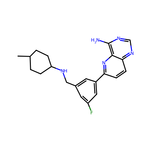 CC1CCC(NCc2cc(F)cc(-c3ccc4ncnc(N)c4n3)c2)CC1